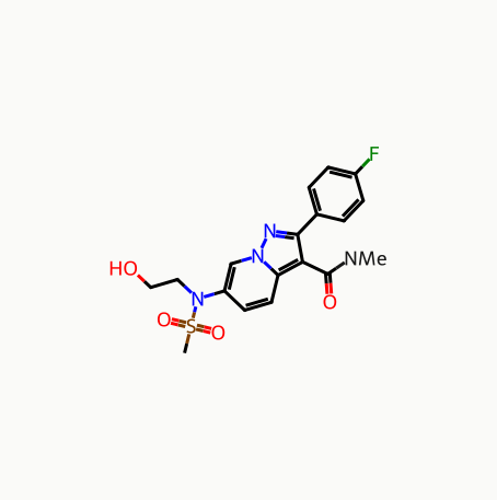 CNC(=O)c1c(-c2ccc(F)cc2)nn2cc(N(CCO)S(C)(=O)=O)ccc12